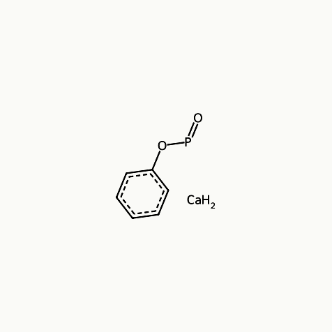 O=POc1ccccc1.[CaH2]